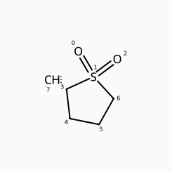 O=S1(=O)CCCC1.[CH]